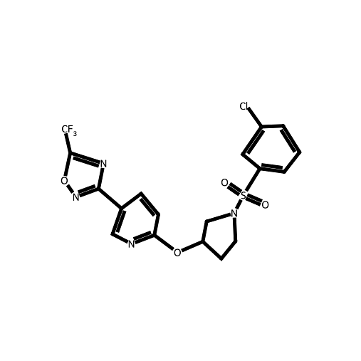 O=S(=O)(c1cccc(Cl)c1)N1CCC(Oc2ccc(-c3noc(C(F)(F)F)n3)cn2)C1